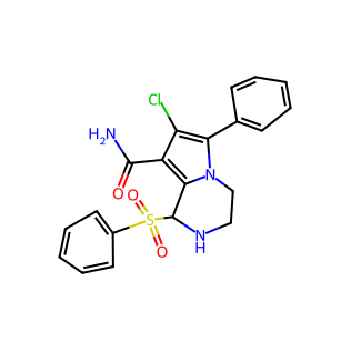 NC(=O)c1c(Cl)c(-c2ccccc2)n2c1C(S(=O)(=O)c1ccccc1)NCC2